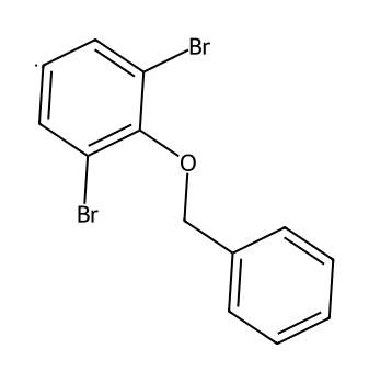 Brc1c[c]cc(Br)c1OCc1ccccc1